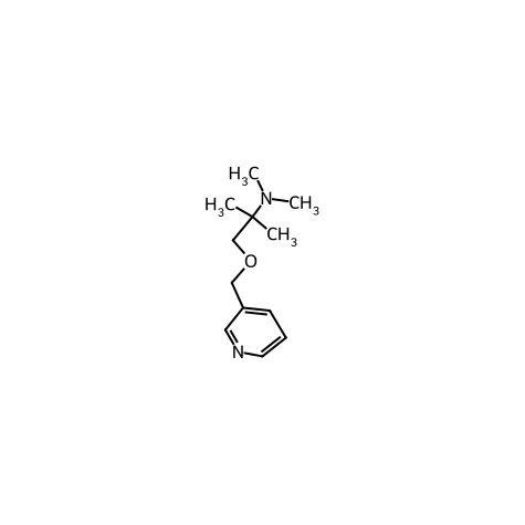 CN(C)C(C)(C)COCc1cccnc1